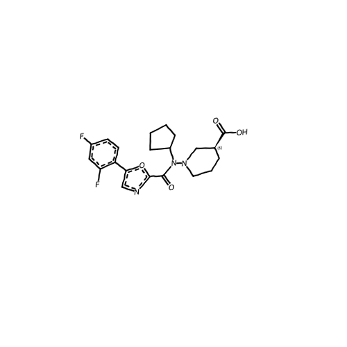 O=C(O)[C@H]1CCCN(N(C(=O)c2ncc(-c3ccc(F)cc3F)o2)C2CCCC2)C1